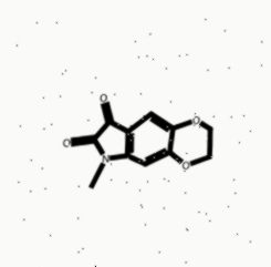 CN1C(=O)C(=O)c2cc3c(cc21)OCCO3